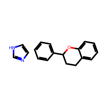 c1c[nH]cn1.c1ccc(C2CCc3ccccc3O2)cc1